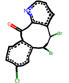 O=C1c2ccc(Cl)cc2C(Br)C(Br)c2cccnc21